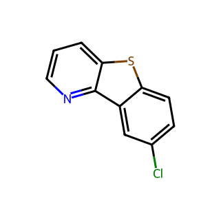 Clc1ccc2sc3cccnc3c2c1